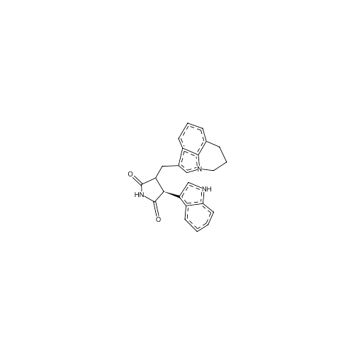 O=C1NC(=O)[C@H](c2c[nH]c3ccccc23)C1Cc1cn2c3c(cccc13)CCC2